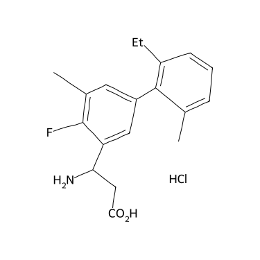 CCc1cccc(C)c1-c1cc(C)c(F)c(C(N)CC(=O)O)c1.Cl